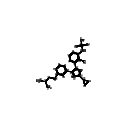 CCCS(=O)(=O)Nc1cccc(-c2nc(C3CC3)[nH]c2-c2ccnc(NC[C@H](C)N)n2)c1Cl